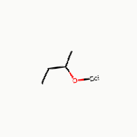 CCC(C)[O][Ge]